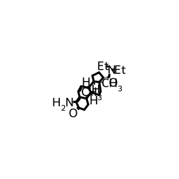 CCN(CC)C(=O)[C@H]1CC[C@H]2[C@@H]3C=CC4=C(N)C(=O)CC[C@]4(C)[C@H]3CC[C@]12C